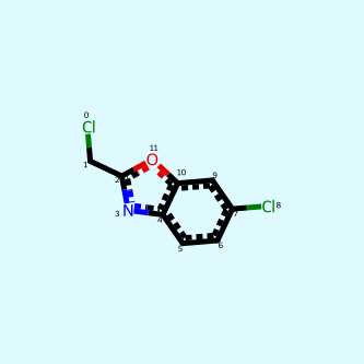 ClCc1nc2ccc(Cl)cc2o1